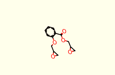 O=C(OCC1CO1)c1ccccc1OCC1CO1